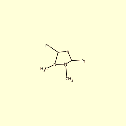 CC(C)C1SC(C(C)C)N(C)N1C